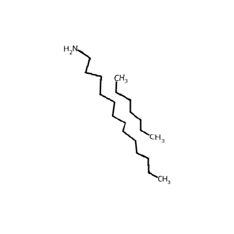 CCCCCCC.CCCCCCCCCCCCCN